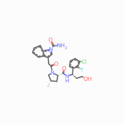 C[C@H]1C[C@@H](C(=O)N[C@H](CCO)c2cccc(Cl)c2F)N(C(=O)Cc2cn(C(N)=O)c3ccccc23)C1